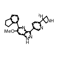 [2H]C1(c2ccc(-c3n[nH]c4cc(OC)c(-c5cccc6c5CCC6)nc34)cn2)CNC1